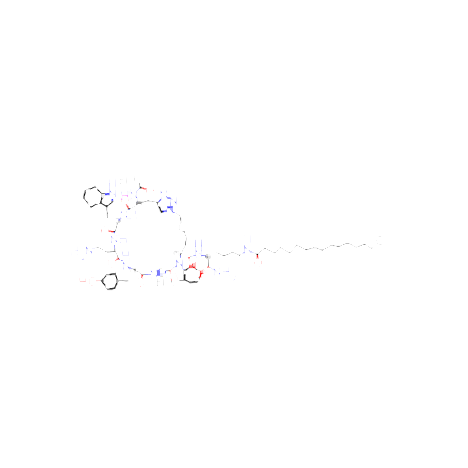 CCCCCCCCCCCCCCCC(=O)NCCCC[C@@H](NC(=O)[C@H]1CCCCn2cc(nn2)C[C@@H](NC(C)=O)C(=O)N[C@@H](Cc2c[nH]c3ccccc23)C(=O)NC(CCN)C(=O)N[C@@H](Cc2ccc(O)cc2)C(=O)NCC(=O)N1c1ccccc1C)C(N)=O